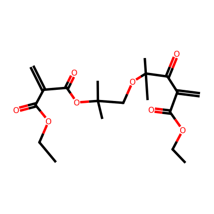 C=C(C(=O)OCC)C(=O)OC(C)(C)COC(C)(C)C(=O)C(=C)C(=O)OCC